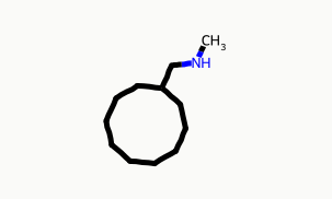 CNCC1CCCCCCCCC1